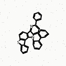 c1ccc(-c2ccc3c(n2)c2ccc4sc5ccccc5c4c2n3-c2ccccc2-c2ccccc2)cc1